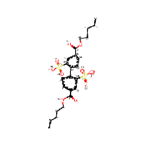 CCCCCOC(=O)c1ccc(-c2ccc(C(=O)OCCCCC)cc2S(=O)(=O)O)c(S(=O)(=O)O)c1